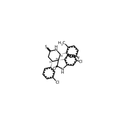 Cc1ccc(F)cc1[C@H]1NC(=S)C[C@@H](c2cccc(Cl)c2)[C@]12C(=O)Nc1cc(Cl)ccc12